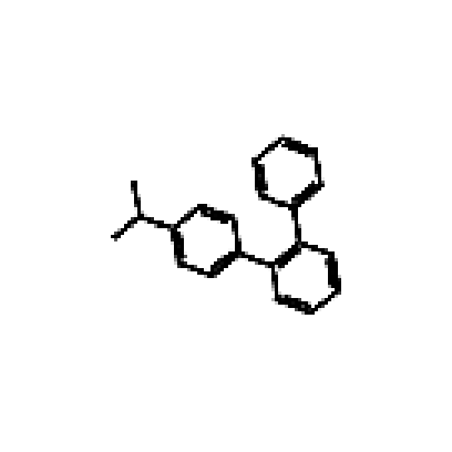 CC(C)c1ccc(-c2[c]cccc2-c2ccccc2)cc1